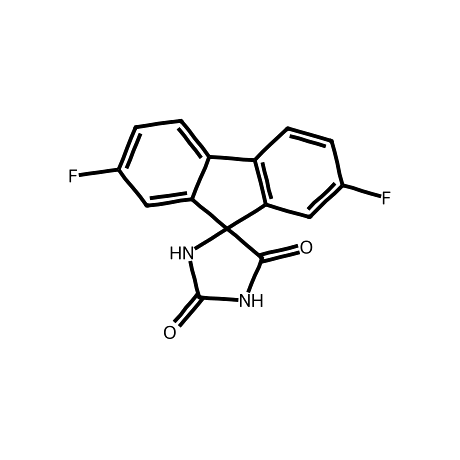 O=C1NC(=O)C2(N1)c1cc(F)ccc1-c1ccc(F)cc12